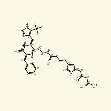 CC(C)(C)c1[nH]cnc1/C=c1\[nH]c(=O)/c(=C/c2ccccc2)nc1OCOC(=O)CCCc1cn(C[C@H](O)CC(=O)O)nn1